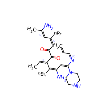 C=C/C=N\C(=CC(N)=C(CCCC)/C(=C\C)C(=O)C(=O)/C=C(\C=C(\C)N)CCC)N1CCNCC1